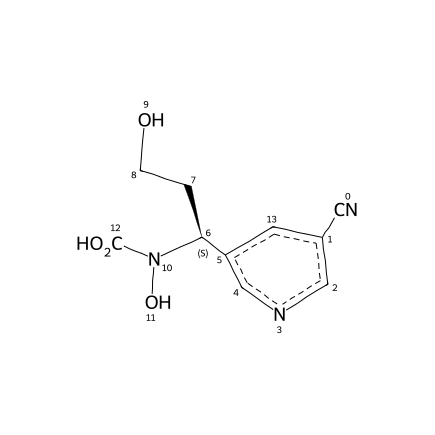 N#Cc1cncc([C@H](CCO)N(O)C(=O)O)c1